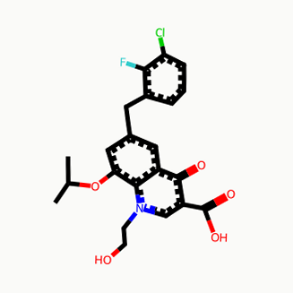 CC(C)Oc1cc(Cc2cccc(Cl)c2F)cc2c(=O)c(C(=O)O)cn(CCO)c12